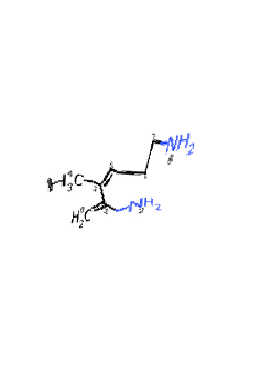 C=C(N)/C(C)=C\CCN